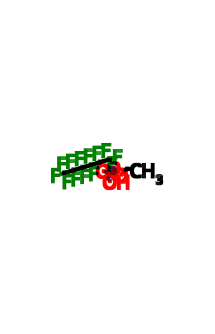 CCOP(=O)(O)OC(F)(C(F)(F)F)C(F)(F)C(F)(F)C(F)(F)C(F)(F)F